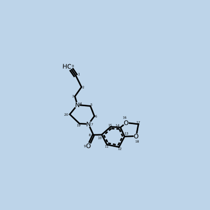 C#CCCN1CCN(C(=O)c2ccc3c(c2)OCO3)CC1